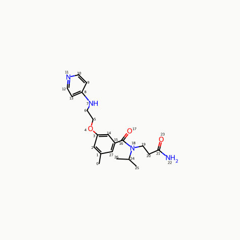 Cc1cc(OCCNc2ccncc2)cc(C(=O)N(CCC(N)=O)C(C)C)c1